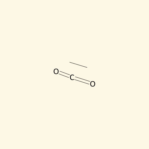 CC.O=C=O